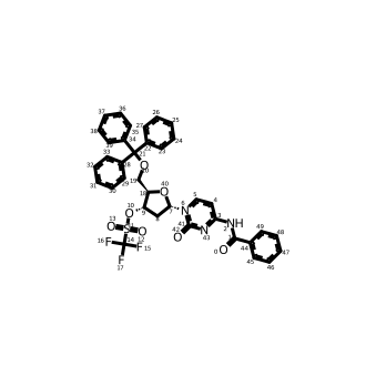 O=C(Nc1ccn([C@@H]2C[C@H](OS(=O)(=O)C(F)(F)F)[C@@H](COC(c3ccccc3)(c3ccccc3)c3ccccc3)O2)c(=O)n1)c1ccccc1